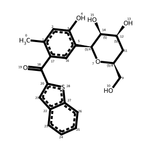 Cc1cc(O)c([C@@H]2O[C@H](CO)C[C@H](O)[C@@H]2O)cc1C(=O)c1cc2ccccc2s1